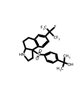 CC(C)(O)c1ccc(S(=O)(=O)C23CCNC2CCc2cc(C(F)(C(F)(F)F)C(F)(F)F)ccc23)cc1